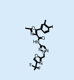 Cc1nc(C(=O)Nc2cnn(Cc3nc(C(C)(F)F)co3)n2)c(-c2ccc(I)c(C)c2)o1